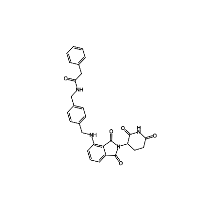 O=C(Cc1ccccc1)NCc1ccc(CNc2cccc3c2C(=O)N(C2CCC(=O)NC2=O)C3=O)cc1